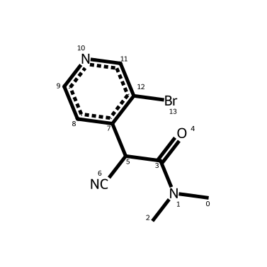 CN(C)C(=O)C(C#N)c1ccncc1Br